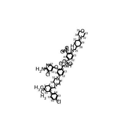 CC1(C)CCC(CN2CCN(c3ccc(C(=O)NS(=O)(=O)c4ccc(NCC5CCC(N6CCOCC6)CC5)c([N+](=O)[O-])c4)c(Oc4cnc(N)c(Cl)c4)c3)CC2)=C(c2ccc(Cl)cc2)C1